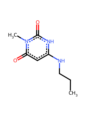 CCCNc1cc(=O)n(C)c(=O)[nH]1